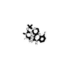 C[C@@H](C(=O)N[C@H]1C(=O)Nc2cccc(F)c2OC12CCOCC2)N(C)C(=O)OC(C)(C)C